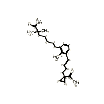 CC(C)(CCCCCc1cccc(CCCCC2(C(=O)O)CC2)c1O)C(=O)O